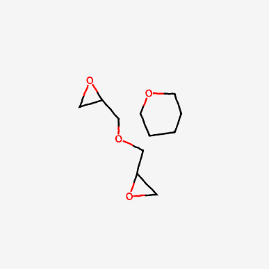 C(OCC1CO1)C1CO1.C1CCOCC1